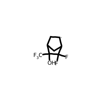 OC1(C(F)(F)F)C2C[CH]C(C2)C1(F)F